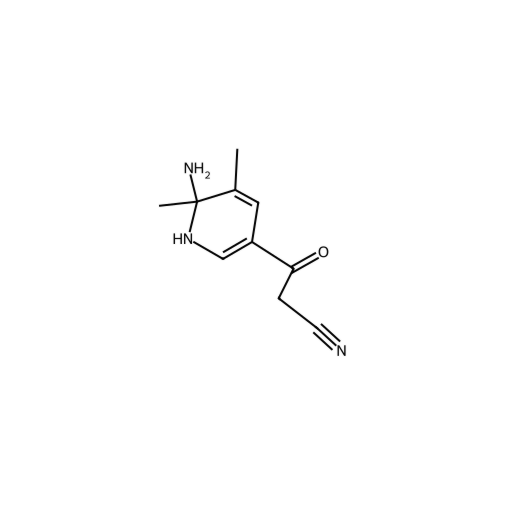 CC1=CC(C(=O)CC#N)=CNC1(C)N